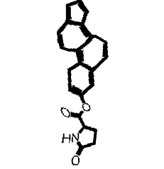 O=C1CCC(C(=O)OC2=CCc3c(ccc4c5c(ccc34)=CC=C5)=C2)N1